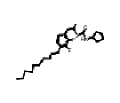 CCCCCCCCCCc1ccc(CC(C)OC(=O)NC2CCCC2)c(F)c1F